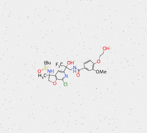 COc1cc(C(=O)NCC(O)(c2cc3c(c(Cl)n2)OCC3(C)N[S+]([O-])C(C)(C)C)C(F)(F)F)ccc1OCCO